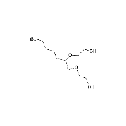 CCC(C)CCCCC(COCCO)OCCO